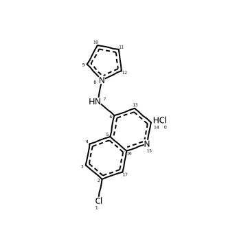 Cl.Clc1ccc2c(Nn3cccc3)ccnc2c1